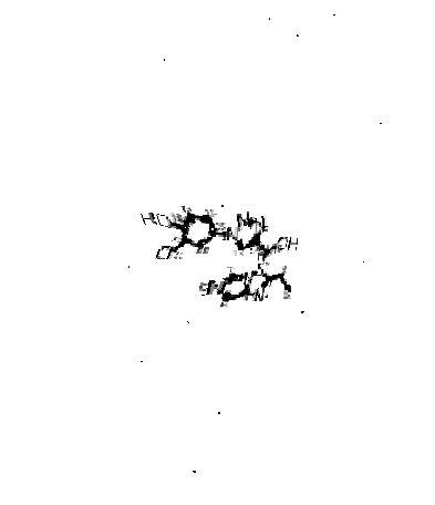 CCC1=Nc2cncn2[SH]1C(O)c1cn(-c2ccc(O)c(Cl)c2)nn1